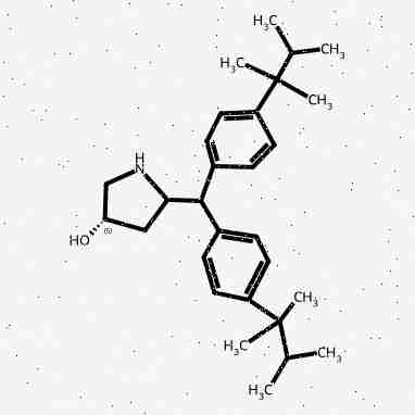 CC(C)C(C)(C)c1ccc(C(c2ccc(C(C)(C)C(C)C)cc2)C2C[C@H](O)CN2)cc1